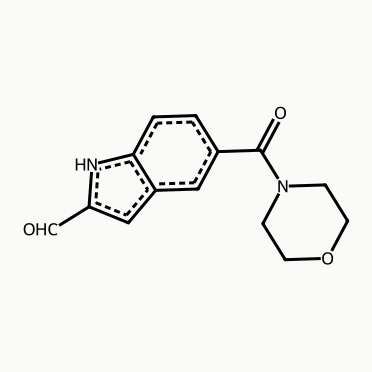 O=Cc1cc2cc(C(=O)N3CCOCC3)ccc2[nH]1